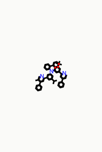 Cc1cnc(-c2cc(C(C)C)cc(N(c3cc(-c4cc(-c5ccccc5)ccn4)cc(C(C)(C)C)c3)c3ccccc3-c3ccccc3)c2)cc1-c1ccccc1